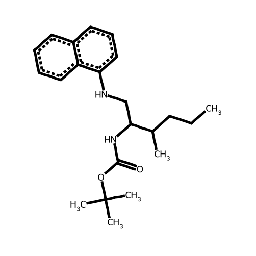 CCCC(C)C(CNc1cccc2ccccc12)NC(=O)OC(C)(C)C